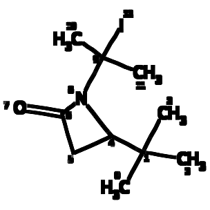 CC(C)(C)C1CC(=O)N1C(C)(C)I